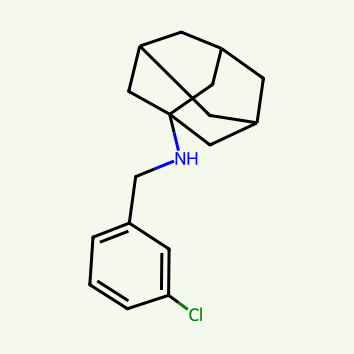 Clc1cccc(CNC23CC4CC(CC(C4)C2)C3)c1